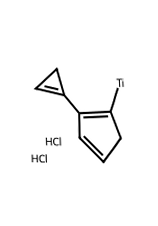 Cl.Cl.[Ti][C]1=C(C2=CC2)C=CC1